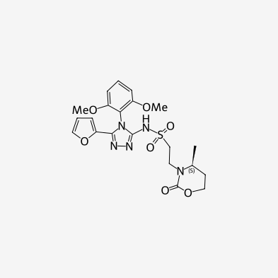 COc1cccc(OC)c1-n1c(NS(=O)(=O)CCN2C(=O)OCC[C@@H]2C)nnc1-c1ccco1